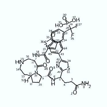 NC(=O)CCC(NC(=O)[C@@H]1CC[C@@H]2CCNC[C@H](NC(=O)c3cc4cc(C(F)(F)P(=O)(O)O)ccc4s3)C(=O)N21)c1nc(-c2ccc(Cl)cc2)cs1